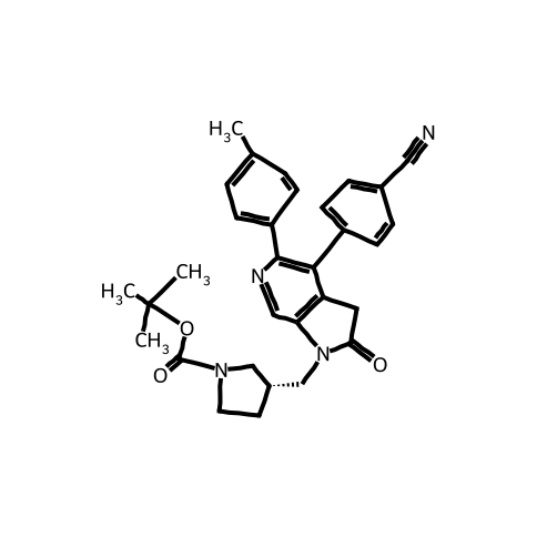 Cc1ccc(-c2ncc3c(c2-c2ccc(C#N)cc2)CC(=O)N3C[C@@H]2CCN(C(=O)OC(C)(C)C)C2)cc1